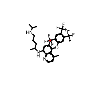 COc1cc(NC(C)CCCNC(C)C)c2nccc(C)c2c1Oc1cc(C(F)(F)F)c(C(F)(F)F)cc1C(F)(F)F